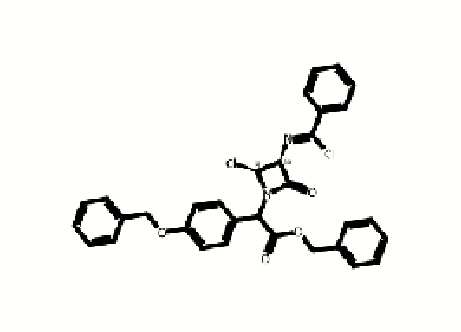 O=C(OCc1ccccc1)C(c1ccc(OCc2ccccc2)cc1)N1C(=O)[C@H](N=C(Cl)c2ccccc2)[C@@H]1Cl